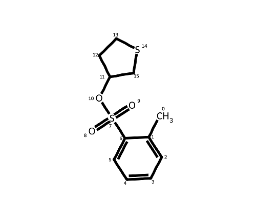 Cc1ccccc1S(=O)(=O)OC1CCSC1